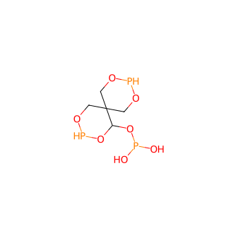 OP(O)OC1OPOCC12COPOC2